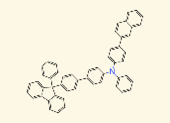 c1ccc(N(c2ccc(-c3ccc(C4(c5ccccc5)c5ccccc5-c5ccccc54)cc3)cc2)c2ccc(-c3ccc4ccccc4c3)cc2)cc1